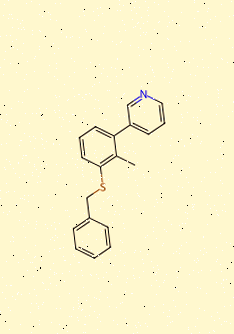 Cc1c(SCc2ccccc2)cccc1-c1cccnc1